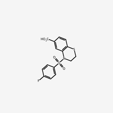 O=C(O)c1ccc2c(c1)N(S(=O)(=O)c1ccc(F)cc1)CCS2